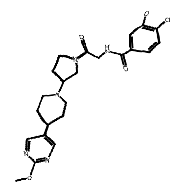 COc1ncc(C2CCN(C3CCN(C(=O)CNC(=O)c4ccc(Cl)c(Cl)c4)C3)CC2)cn1